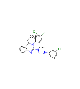 O=C(O)CC1c2ccccc2N=C(N2CCN(c3cccc(Cl)c3)CC2)N1c1ccc(F)c(Cl)c1